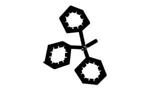 C[Si](c1cc[c]cc1)(c1ccccc1)c1ccccc1